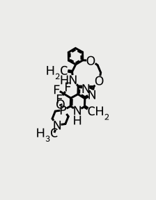 C=C1Nc2nc(nc3c2C(C(F)(F)F)=C(P2(=O)CCN(C)CC2)NC3=C)OCCOc2ccccc21